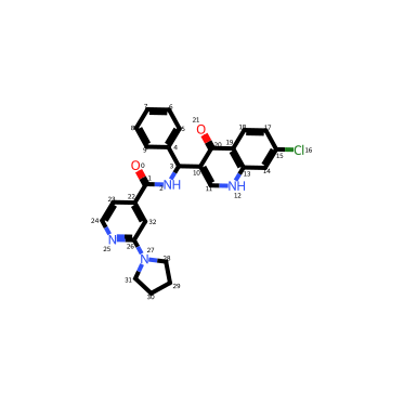 O=C(NC(c1ccccc1)c1c[nH]c2cc(Cl)ccc2c1=O)c1ccnc(N2CCCC2)c1